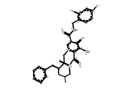 C[C@H]1CC(Cc2ccccc2)C2(C)Cn3cc(C(=O)NCc4ccc(F)cc4F)c(=O)c(O)c3C(=O)N2C1